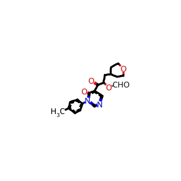 Cc1ccc(-n2cncc(C(=O)C(CC3CCOCC3)OC=O)c2=O)cc1